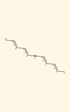 C/C=C/C=[CH]/[Ni]/[CH]=C/C=C/C